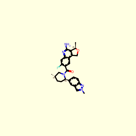 C[C@H]1CC[C@H](c2ccc3nn(C)cc3c2)N(C(=O)c2cc3c4c(c(N)nc3cc2F)[C@@H](C)OC4)C1